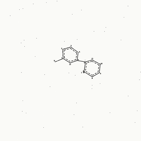 Cc1cccc(-c2bcccc2)c1